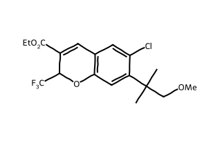 CCOC(=O)C1=Cc2cc(Cl)c(C(C)(C)COC)cc2OC1C(F)(F)F